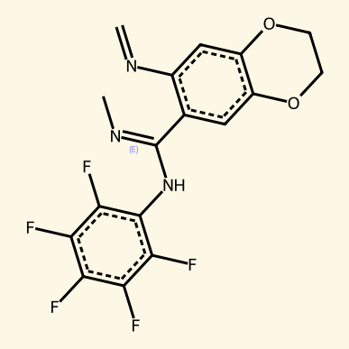 C=Nc1cc2c(cc1/C(=N\C)Nc1c(F)c(F)c(F)c(F)c1F)OCCO2